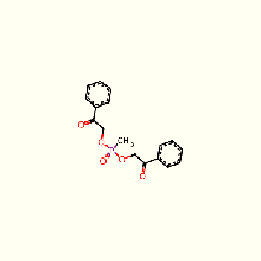 CP(=O)(OCC(=O)c1ccccc1)OCC(=O)c1ccccc1